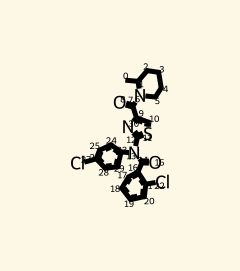 CC1CCCCN1C(=O)c1csc(N(C(=O)c2ccccc2Cl)c2ccc(Cl)cc2)n1